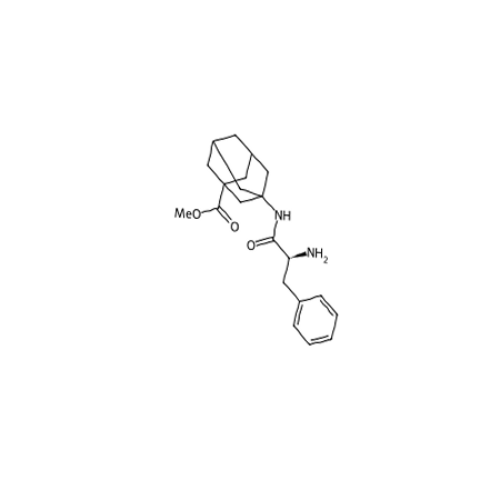 COC(=O)C12CC3CC(CC(NC(=O)[C@@H](N)Cc4ccccc4)(C3)C1)C2